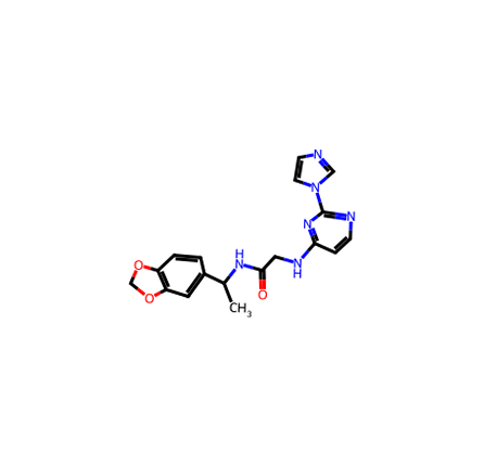 CC(NC(=O)CNc1ccnc(-n2ccnc2)n1)c1ccc2c(c1)OCO2